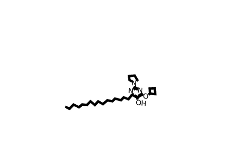 CCCCCCCCCCCCCCCCc1nc(N2CCCC2)nc(OC2CCC2)c1O